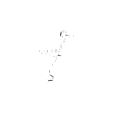 CCc1nccn1CCCNC(=S)NCCSCc1ccc(C)o1.CNC